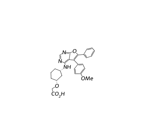 COc1ccc(-c2c(-c3ccccc3)oc3ncnc(N[C@H]4CCC[C@@H](OCC(=O)O)C4)c23)cc1